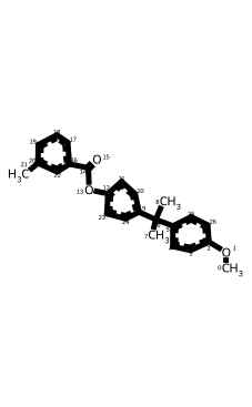 COc1ccc(C(C)(C)c2ccc(OC(=O)c3cccc(C)c3)cc2)cc1